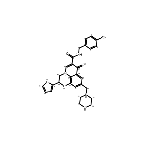 O=C(NCc1ccc(Cl)cc1)c1cn2c3c(cc(CN4CCOCC4)cc3c1=S)OC(c1ccco1)C2